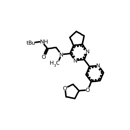 CN(CC(=O)NC(C)(C)C)c1nc(-c2cc(OC3CCOC3)ccn2)nc2c1CCC2